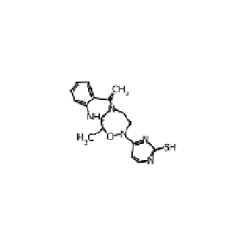 C=C(c1ccccc1N)N1CCN(c2ccnc(S)n2)OC(C)C1